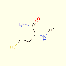 CCCNC(CCS)C(N)=O